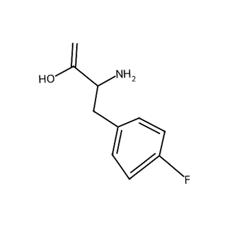 C=C(O)C(N)Cc1ccc(F)cc1